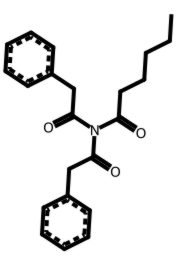 CCCCCC(=O)N(C(=O)Cc1ccccc1)C(=O)Cc1ccccc1